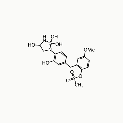 COc1ccc(OS(C)(=O)=O)c(Cc2ccc(N3CC(O)NS3(O)O)c(O)c2)c1